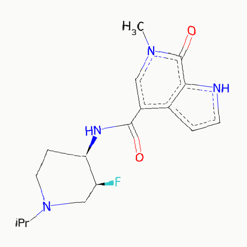 CC(C)N1CC[C@@H](NC(=O)c2cn(C)c(=O)c3[nH]ccc23)[C@@H](F)C1